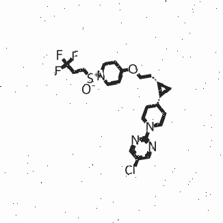 [O-][S+](CCC(F)(F)F)N1CCC(OCC[C@@H]2C[C@@H]2C2CCN(c3ncc(Cl)cn3)CC2)CC1